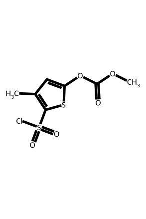 COC(=O)Oc1cc(C)c(S(=O)(=O)Cl)s1